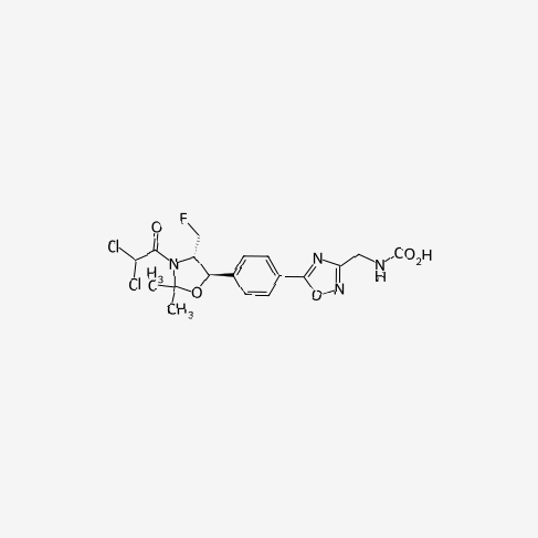 CC1(C)O[C@H](c2ccc(-c3nc(CNC(=O)O)no3)cc2)[C@@H](CF)N1C(=O)C(Cl)Cl